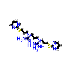 N=C(N)N(CCCSc1ncccn1)CCCN(CCCSc1ncccn1)C(=N)N